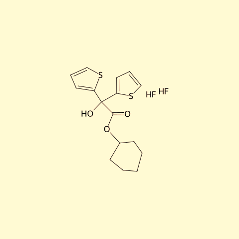 F.F.O=C(OC1CCCCC1)C(O)(c1cccs1)c1cccs1